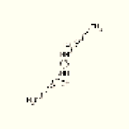 CCCCCOCC(O)CNc1ccc(NCC(O)COCCCCC)cc1